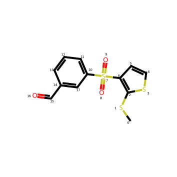 CSc1s[c]cc1S(=O)(=O)c1cccc(C=O)c1